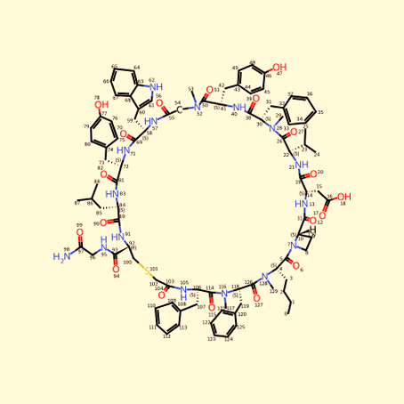 CCCC[C@H]1C(=O)N2CC[C@H]2C(=O)N[C@@H](CC(=O)O)C(=O)N[C@@H](C(C)C)C(=O)N(C)[C@@H](Cc2ccccc2)C(=O)N[C@@H](Cc2ccc(O)cc2)C(=O)N(C)CC(=O)N[C@@H](Cc2c[nH]c3ccccc23)C(=O)N[C@@H](Cc2ccc(O)cc2)C(=O)N[C@@H](CC(C)C)C(=O)N[C@H](C(=O)NCC(N)=O)CSCC(=O)N[C@@H](Cc2ccccc2)C(=O)N(C)[C@@H](Cc2ccccc2)C(=O)N1C